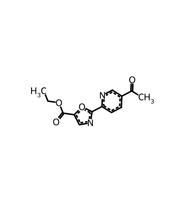 CCOC(=O)c1cnc(-c2ccc(C(C)=O)cn2)o1